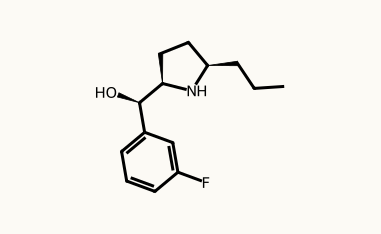 CCC[C@@H]1CC[C@H]([C@H](O)c2cccc(F)c2)N1